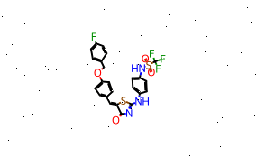 O=C1N=C(Nc2ccc(NS(=O)(=O)C(F)(F)F)cc2)SC1=Cc1ccc(OCc2ccc(F)cc2)cc1